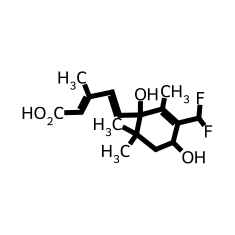 CC(C=CC1(O)C(C)=C(C(F)F)C(O)CC1(C)C)=CC(=O)O